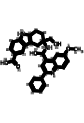 COc1ccc2nc(-c3ccccc3)cc(C(O)NC3(CO)CCc4[nH]c5ccc(C(=O)O)cc5c4C3)c2c1